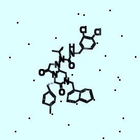 Cc1ccc(C[C@H]2C(=O)N(Cc3cccc4ccccc34)CC3N2C(=O)CN3N(C(=O)NCc2ccc(Cl)c(Cl)c2)C(C)C)cc1